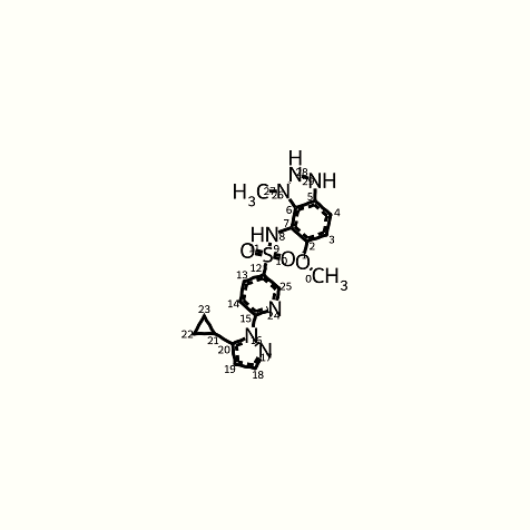 COc1ccc2c(c1NS(=O)(=O)c1ccc(-n3nccc3C3CC3)nc1)N(C)NN2